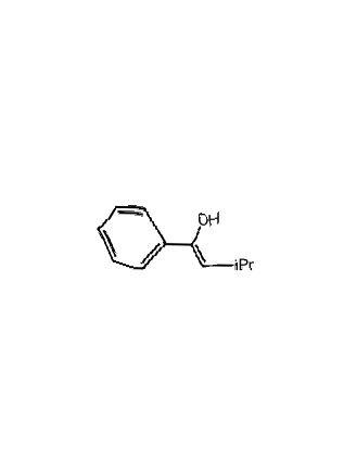 CC(C)C=C(O)c1ccccc1